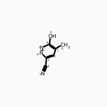 Cc1cc(C#N)nnc1O